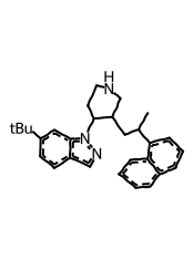 CC(CC1CNCCC1n1ncc2ccc(C(C)(C)C)cc21)c1cccc2ccccc12